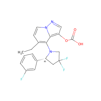 CCc1ccn2ncc(OC(=O)O)c2c1N1CC(F)(F)C[C@@H]1c1cccc(F)c1